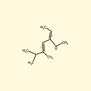 C/C=C(\C=C(/C)C(C)C)NC